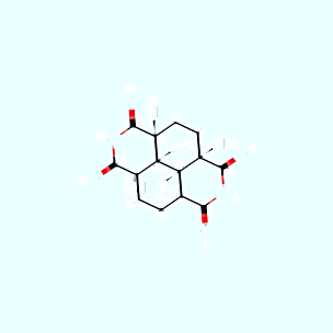 O=C1OC(=O)[C@H]2CC[C@H]3C(=O)OC(=O)[C@H]4CCC1[C@@H]2[C@H]43